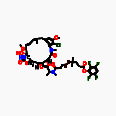 COc1cc2cc(c1Cl)N(C)C(=O)C[C@@H]1OC([C@H](C)N(C)C(=O)CCSSC(C)(C)CCC(=O)Oc3c(F)c(F)cc(F)c3F)=C[C@]13O[C@H]3[C@H](C)[C@@H]1C[C@@](O)(NC(=O)O1)[C@H](OC)/C=C/C=C(\C)C2